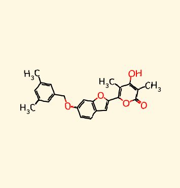 Cc1cc(C)cc(COc2ccc3cc(-c4oc(=O)c(C)c(O)c4C)oc3c2)c1